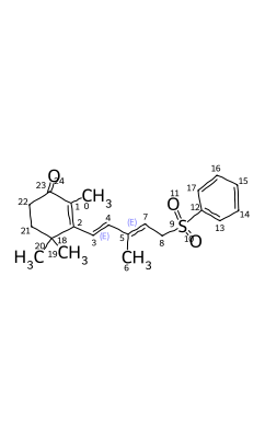 CC1=C(/C=C/C(C)=C/CS(=O)(=O)c2ccccc2)C(C)(C)CCC1=O